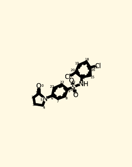 O=C1CCCN1c1ccc(S(=O)(=O)Nc2cc(Cl)ccc2Cl)cc1